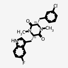 CN1C(=O)[C@H](Cc2c[nH]c3ccc(F)cc23)N(C)C(=O)[C@@H]1Cc1cccc(Cl)c1